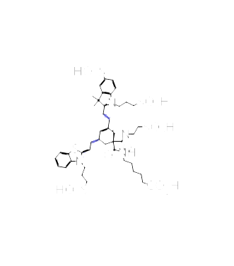 CC1(C)C(/C=C/C2=CC(=C/C=C3\Sc4ccccc4N3CCCS(=O)(=O)O)/CC(C(=O)NCCCCCC(=O)O)(C(=O)NCCS(=O)(=O)O)C2)=[N+](CCCS(=O)(=O)O)c2ccc(S(=O)(=O)O)cc21